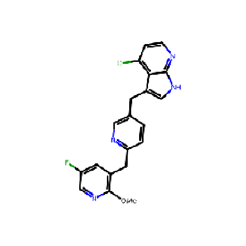 COc1ncc(F)cc1[CH]c1ccc(Cc2c[nH]c3nccc(Cl)c23)cn1